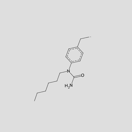 [CH2]Cc1ccc(N(CCCCCC)C(N)=O)cc1